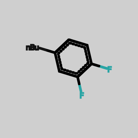 C[CH]CCc1ccc(F)c(F)c1